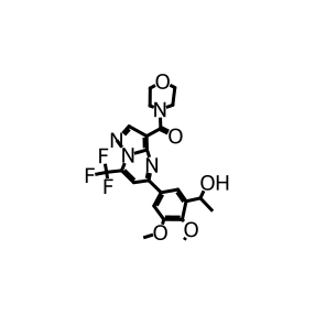 COc1cc(-c2cc(C(F)(F)F)n3ncc(C(=O)N4CCOCC4)c3n2)cc(C(C)O)c1OC